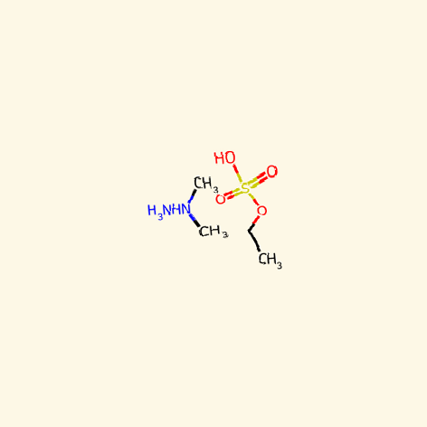 CCOS(=O)(=O)O.CNC.N